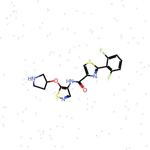 O=C(Nc1cnsc1OC1CCNC1)c1csc(-c2c(F)cccc2F)n1